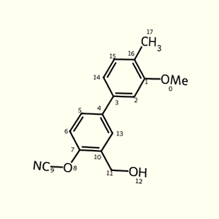 COc1cc(-c2ccc(OC#N)c(CO)c2)ccc1C